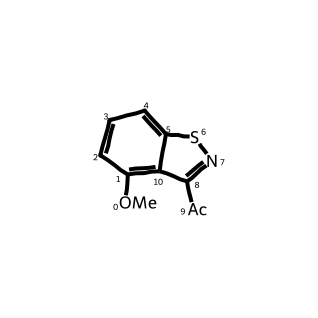 COc1cccc2snc(C(C)=O)c12